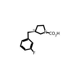 O=C(O)N1CC[C@H](Cc2cccc(F)c2)C1